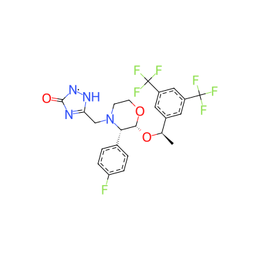 C[C@@H](O[C@H]1OCCN(CC2=NC(=O)[N]N2)[C@H]1c1ccc(F)cc1)c1cc(C(F)(F)F)cc(C(F)(F)F)c1